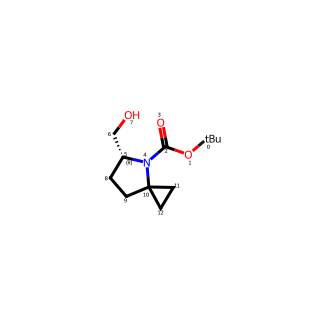 CC(C)(C)OC(=O)N1[C@@H](CO)CCC12CC2